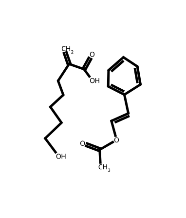 C=C(CCCCCO)C(=O)O.CC(=O)OC=Cc1ccccc1